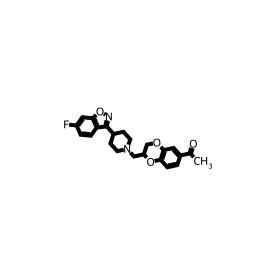 CC(=O)c1ccc2c(c1)OCC(CN1CCC(c3noc4cc(F)ccc34)CC1)O2